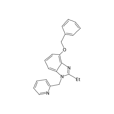 CCc1nc2c(OCc3ccccc3)cccc2n1Cc1ccccn1